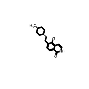 C[C@H]1CC[C@@H](CCc2ccc3c(=O)[nH]ccc3c2Cl)CC1